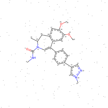 CNC(=O)N1C=C(c2ccc(-c3cnn(C)c3)cc2)c2cc(OC)c(OC)cc2CC1C